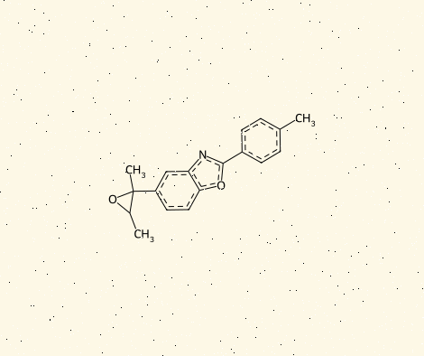 Cc1ccc(-c2nc3cc(C4(C)OC4C)ccc3o2)cc1